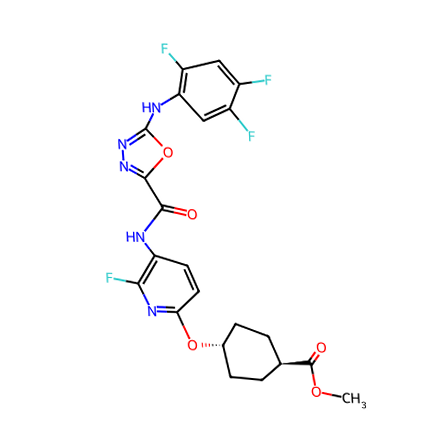 COC(=O)[C@H]1CC[C@H](Oc2ccc(NC(=O)c3nnc(Nc4cc(F)c(F)cc4F)o3)c(F)n2)CC1